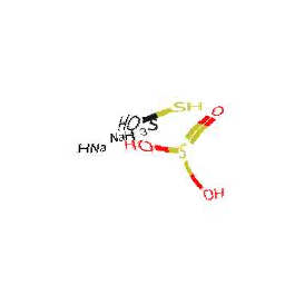 O=S(=O)(O)S.O=S(O)O.[NaH].[NaH]